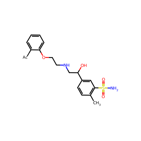 CC(=O)c1ccccc1OCCNCC(O)c1ccc(C)c(S(N)(=O)=O)c1